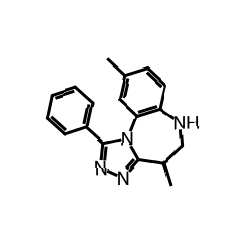 Cc1ccc2c(c1)-n1c(-c3ccccc3)nnc1C(C)CN2